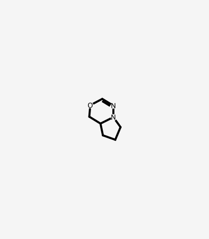 C1=NN2CCCC2CO1